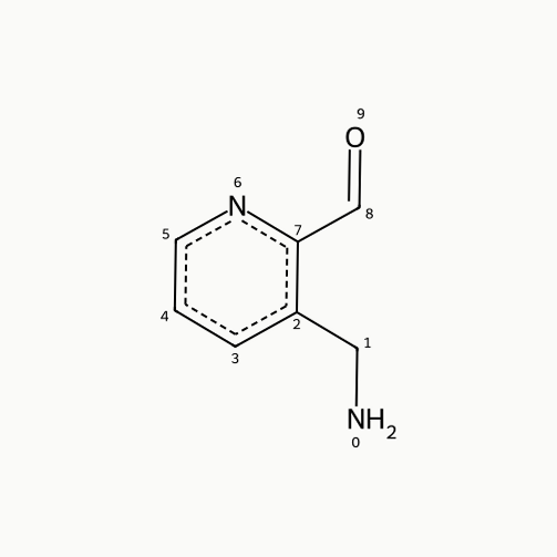 NCc1cccnc1C=O